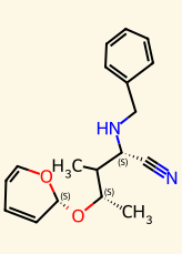 CC([C@H](C)O[C@@H]1C=CC=CO1)[C@@H](C#N)NCc1ccccc1